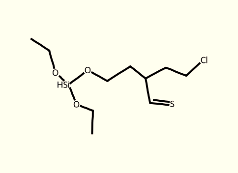 CCO[SiH](OCC)OCCC(C=S)CCCl